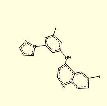 Cc1cc(Nc2ccnc3ccc(I)cc23)cc(-n2cccn2)c1